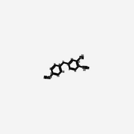 CNc1ccc(Cc2ccc(NC)c(C#N)c2)cc1